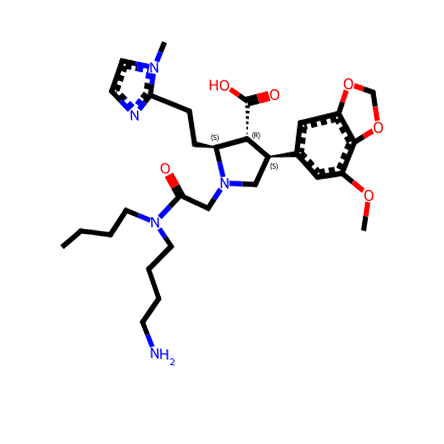 CCCCN(CCCCN)C(=O)CN1C[C@H](c2cc(OC)c3c(c2)OCO3)[C@@H](C(=O)O)[C@@H]1CCc1nccn1C